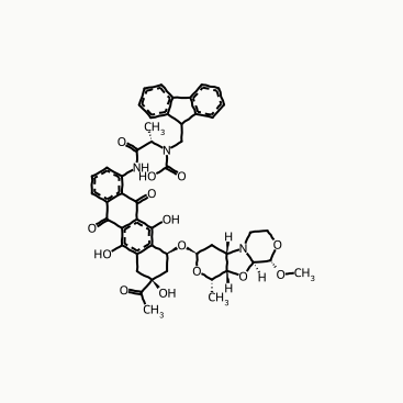 CO[C@H]1OCCN2[C@@H]1O[C@@H]1[C@H](C)O[C@@H](O[C@H]3C[C@](O)(C(C)=O)Cc4c(O)c5c(c(O)c43)C(=O)c3c(NC(=O)[C@H](C)N(CC4c6ccccc6-c6ccccc64)C(=O)O)cccc3C5=O)C[C@@H]12